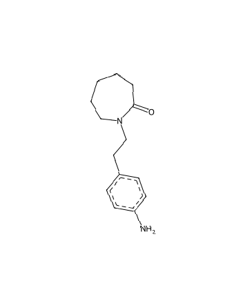 Nc1ccc(CCN2CCCCCC2=O)cc1